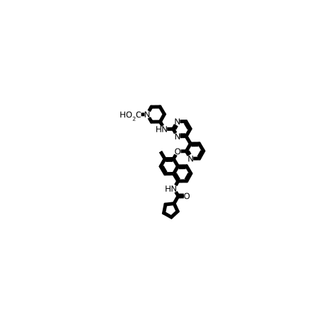 Cc1ccc2c(NC(=O)C3CCCC3)cccc2c1Oc1ncccc1-c1ccnc(NC2CCCN(C(=O)O)C2)n1